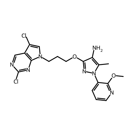 COc1ncccc1-n1nc(OCCCn2cc(Cl)c3cnc(Cl)nc32)c(N)c1C